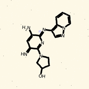 N=C1C=C(N)/C(=N/c2cnn3ccccc23)N=C1N1CCC(O)C1